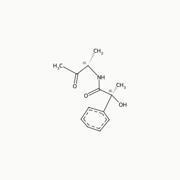 CC(=O)[C@H](C)NC(=O)[C@@](C)(O)c1ccccc1